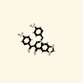 Cc1ccc(Cn2cc(C(=O)c3ccc(C)cc3)c(=O)c3cc4c(cc32)OCO4)cc1